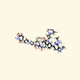 COC1CC(C(=O)N2CCC3(CC2)C(=O)N(C2CC(N4CCCCC4)C2)c2cc(-c4cc5ncn(C(C)C)c5c(NC5CC5)n4)ccc23)CN(C(=O)C2CCN(c3ccc([C@H]4CCC(=O)NC4=O)cn3)CC2)C1